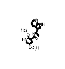 Cl.O=C(O)c1c[nH]c(=O)c(-c2nc(-c3c[nH]c4ncccc34)cs2)c1